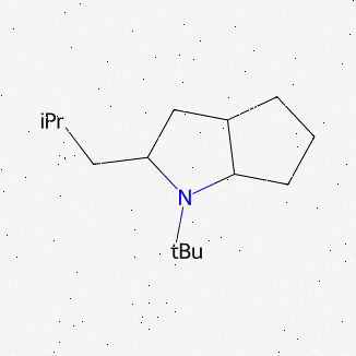 CC(C)CC1CC2CCCC2N1C(C)(C)C